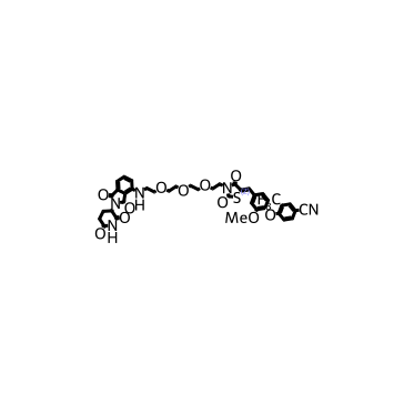 COc1cc(/C=C2\SC(=O)N(CCOCCOCCOCCNc3cccc4c3C(=O)N(C3CCC(=O)NC3=O)C4=O)C2=O)ccc1Oc1ccc(C#N)cc1C(F)(F)F